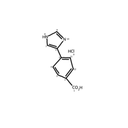 Cl.O=C(O)c1ccc(-c2c[nH]cn2)cc1